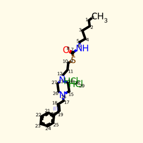 CCCCCCNC(=O)SCCCN1CCN(C/C=C/c2ccccc2)CC1.Cl.Cl